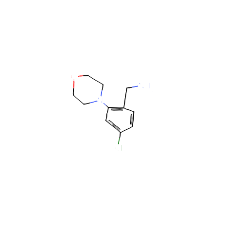 NCc1ccc(Cl)cc1N1CCOCC1